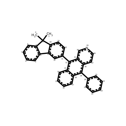 CC1(C)c2ccccc2-c2cc(-c3c4ccccc4c(-c4ccccc4)c4ccncc34)ccc21